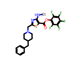 CCNc1nc(CN2CCC(Cc3ccccc3)CC2)sc1C(=O)Oc1c(F)c(F)c(F)c(F)c1F